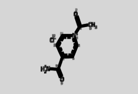 CC(=O)[n+]1ccc(C(N)=O)cc1.[Cl-]